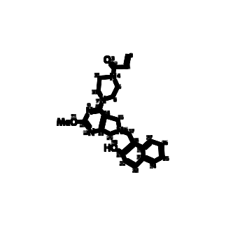 C=CC(=O)N1CCN(c2nc(OC)nc3c2CN(Cc2c(O)ccc4ccccc24)C3)CC1